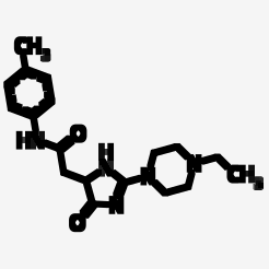 CCN1CCN(C2=NC(=O)C(CC(=O)Nc3ccc(C)cc3)N2)CC1